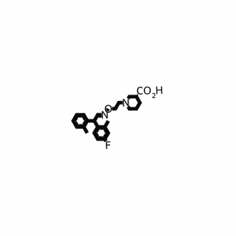 Cc1ccccc1C(/C=N/OCCN1CCC[C@@H](C(=O)O)C1)c1ccc(F)cc1C